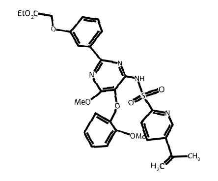 C=C(C)c1ccc(S(=O)(=O)Nc2nc(-c3cccc(OCC(=O)OCC)c3)nc(OC)c2Oc2ccccc2OC)nc1